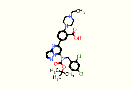 CCN1CCN(c2ccc(-c3cc(N(Cc4ccc(Cl)cc4Cl)C(=O)OC(C)(C)C)n4nccc4n3)cc2C(=O)O)CC1